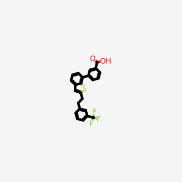 O=C(O)c1cccc(-c2cccc3cc(CCc4cccc(C(F)(F)F)c4)sc23)c1